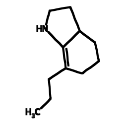 CCCC1=C2NCCC2CCC1